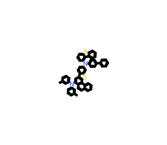 Cc1cccc(N(c2cccc(C)c2)c2cc3c4ccc(N(c5ccc(-c6ccccc6)cc5)c5cccc6sc7ccccc7c56)cc4sc3c3c2ccc2ccccc23)c1